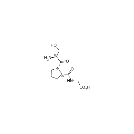 N[C@@H](CO)C(=O)N1CCC[C@H]1C(=O)NCC(=O)O